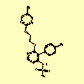 O=S(=O)(O)Nc1ncnc(OCCOc2ncc(Br)cn2)c1-c1ccc(Br)cc1